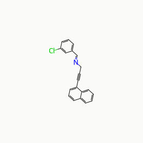 Clc1cccc(/C=N/CC#Cc2cccc3ccccc23)c1